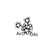 CC(=O)OC[C@H]1O[C@H](OC(C)=O)[C@H](OC(=O)c2ccccc2)[C@@H](OC(=O)c2ccccc2)[C@@H]1Cl